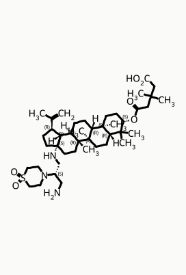 C=C(C)[C@@H]1CC[C@]2(NC[C@H](CN)N3CCS(=O)(=O)CC3)CC[C@]3(C)[C@H](CC[C@@H]4[C@@]5(C)CC[C@H](OC(=O)CC(C)(C)CC(=O)O)C(C)(C)[C@@H]5CC[C@]43C)[C@@H]12